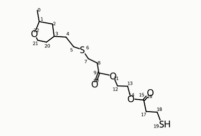 CC1CC(CCSCCC(=O)OCCOC(=O)CCS)CCO1